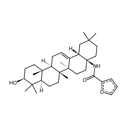 CC1(C)CC[C@]2(NC(=O)c3ccco3)CC[C@]3(C)C(=CC[C@@H]4[C@@]5(C)CC[C@H](O)C(C)(C)[C@@H]5CC[C@]43C)[C@@H]2C1